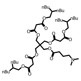 CCCCC(CCCC)COC(=O)CC(=O)OCC(COC(=O)CCCN(C)C)(COC(=O)CC(=O)OCC(CCCC)CCCC)COC(=O)CC(=O)OCC(CCCC)CCCC